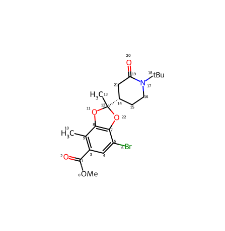 COC(=O)c1cc(Br)c2c(c1C)OC(C)([C@H]1CCN(C(C)(C)C)C(=O)C1)O2